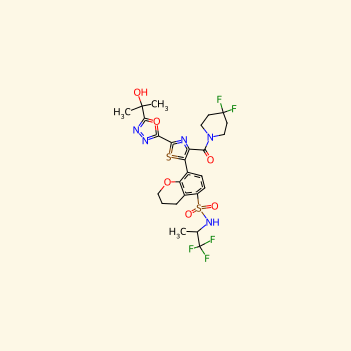 CC(NS(=O)(=O)c1ccc(-c2sc(-c3nnc(C(C)(C)O)o3)nc2C(=O)N2CCC(F)(F)CC2)c2c1CCCO2)C(F)(F)F